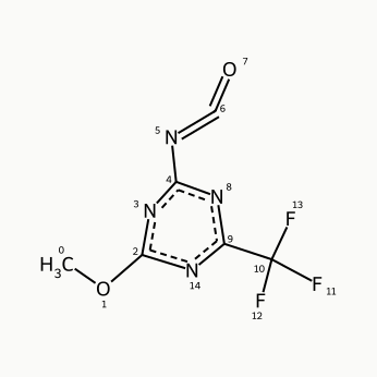 COc1nc(N=C=O)nc(C(F)(F)F)n1